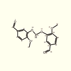 COc1ccc(C=O)cc1OBOc1cc(C=O)ccc1OC